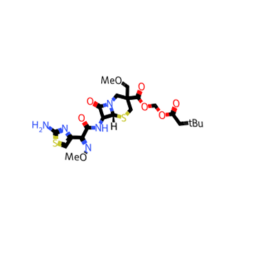 COCC1(C(=O)OCOC(=O)CC(C)(C)C)CS[C@@H]2C(NC(=O)C(=NOC)c3csc(N)n3)C(=O)N2C1